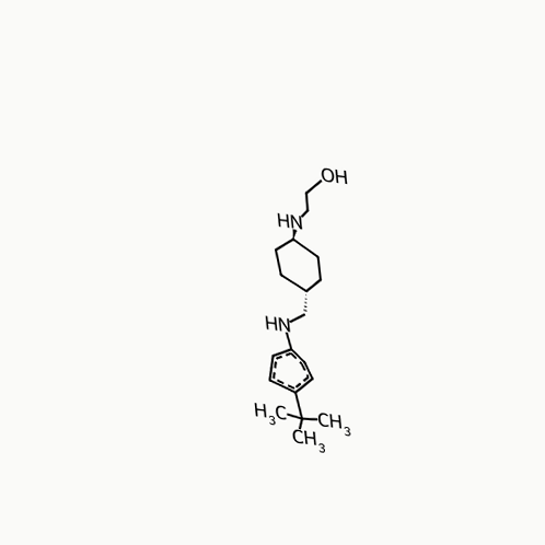 CC(C)(C)c1ccc(NC[C@H]2CC[C@H](NCCO)CC2)cc1